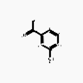 CC(=O)c1ccnc(O)n1